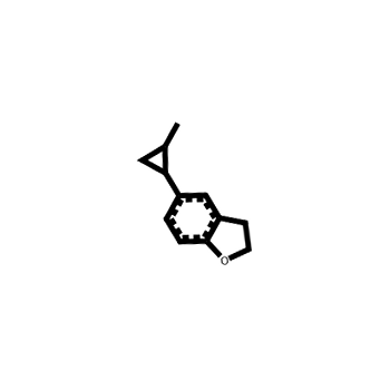 CC1CC1c1ccc2c(c1)CCO2